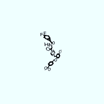 COC(=O)c1ccc(COc2ccc(Cl)cc2CN2CCN(C(=O)CNC(=O)C3C4CC(F)(F)CC43)CC2)cc1